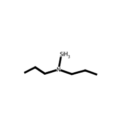 CCCN([SiH3])CCC